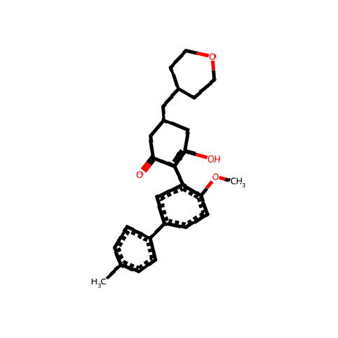 COc1ccc(-c2ccc(C)cc2)cc1C1=C(O)CC(CC2CCOCC2)CC1=O